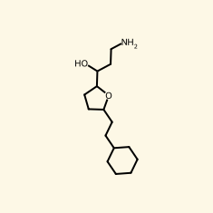 NCCC(O)C1CCC(CCC2CCCCC2)O1